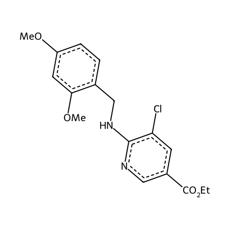 CCOC(=O)c1cnc(NCc2ccc(OC)cc2OC)c(Cl)c1